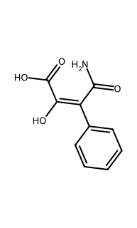 NC(=O)/C(=C(/O)C(=O)O)c1ccccc1